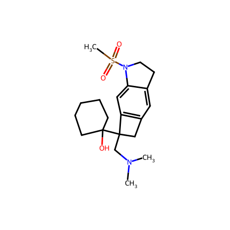 CN(C)CC1(C2(O)CCCCC2)Cc2cc3c(cc21)N(S(C)(=O)=O)CC3